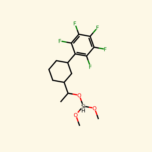 CO[SiH](OC)OC(C)C1CCCC(c2c(F)c(F)c(F)c(F)c2F)C1